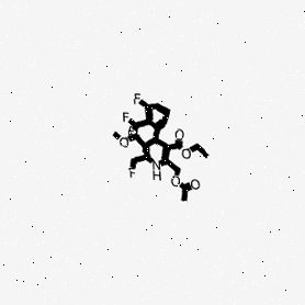 CCOC(=O)C1=C(COC(C)=O)NC(CF)=C(C(=O)OC)C1c1cccc(F)c1C(F)F